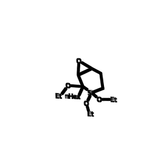 CCCCCCC1(OCC)C2OC2CC[Si]1(OCC)OCC